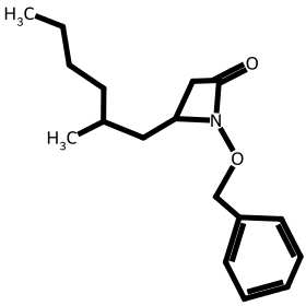 CCCCC(C)CC1CC(=O)N1OCc1ccccc1